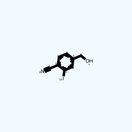 N#Cc1ccc(CO)cc1I